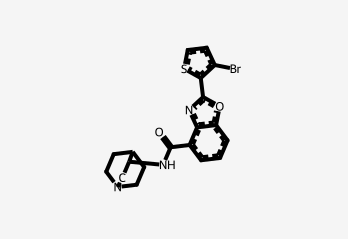 O=C(NC1CN2CCC1CC2)c1cccc2oc(-c3sccc3Br)nc12